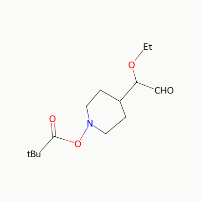 CCOC(C=O)C1CCN(OC(=O)C(C)(C)C)CC1